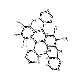 Cc1c(C)c(O)c2c(-c3ccccc3C3CCCc4ccccc43)c3c(C)c(O)c(O)c(O)c3c(-c3ccccc3)c2c1C